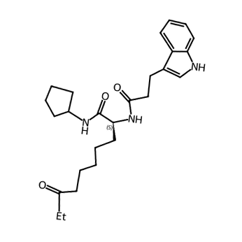 CCC(=O)CCCCC[C@H](NC(=O)CCc1c[nH]c2ccccc12)C(=O)NC1CCCC1